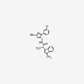 CC(C(=O)NCc1cc(C(C)(C)C)nn1-c1cccc(Cl)c1)c1cn(C)c2ccccc12